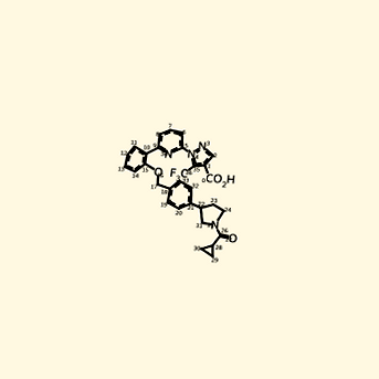 O=C(O)c1cnn(-c2cccc(-c3ccccc3OCc3ccc(C4CCN(C(=O)C5CC5)C4)cc3)n2)c1C(F)(F)F